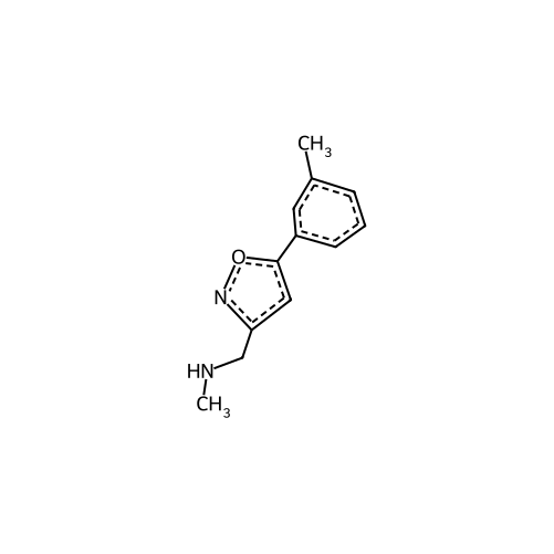 CNCc1cc(-c2cccc(C)c2)on1